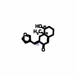 C[C@]12C/C(=C\c3ccoc3)C(=O)C=C1CCC[C@@H]2O